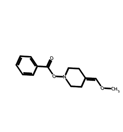 COC=C1CCN(OC(=O)c2ccccc2)CC1